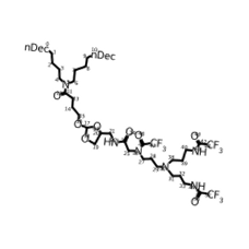 CCCCCCCCCCCCCCN(CCCCCCCCCCCCCC)C(=O)CCCOC1OCC(CNC(=O)CN(CCCN(CCCNC(=O)C(F)(F)F)CCCNC(=O)C(F)(F)F)C(=O)C(F)(F)F)O1